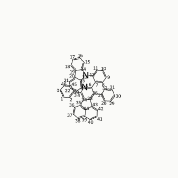 c1ccc(-c2nc(-c3ccccc3-n3c4ccccc4c4ccccc43)c(-c3ccccc3)c3c2-c2cccc4cccc-3c24)cc1